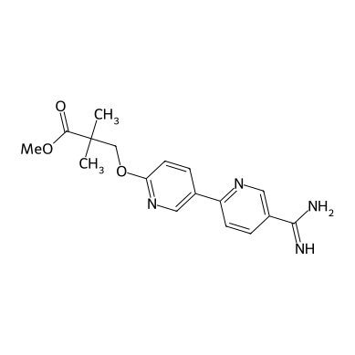 COC(=O)C(C)(C)COc1ccc(-c2ccc(C(=N)N)cn2)cn1